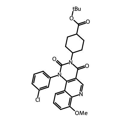 COc1cccc2c1ncc1c(=O)n(C3CCC(C(=O)OC(C)(C)C)CC3)c(=O)n(-c3cccc(Cl)c3)c12